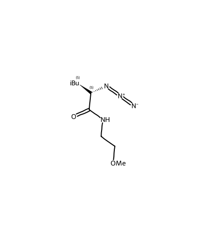 CC[C@H](C)[C@H](N=[N+]=[N-])C(=O)NCCOC